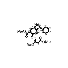 COC(=O)CC(=O)OC.COC(=O)c1cc2nnn(-c3ccccc3)c2[nH]c1=O